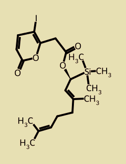 CC(C)=CCC/C(C)=C/[C@@H](OC(=O)Cc1oc(=O)ccc1I)[Si](C)(C)C